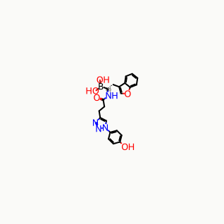 O=C(CCc1cn(-c2ccc(O)cc2)nn1)N[C@@H](Cc1coc2ccccc12)B(O)O